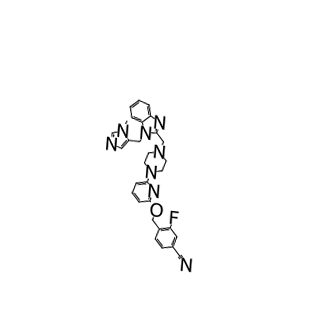 Cn1cncc1Cn1c(CN2CCN(c3cccc(OCc4ccc(C#N)cc4F)n3)CC2)nc2ccccc21